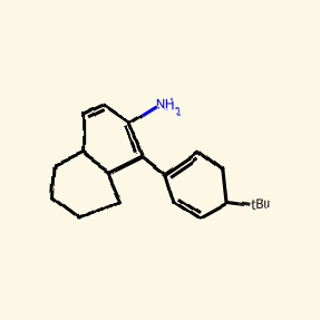 CC(C)(C)C1C=CC(C2=C(N)C=CC3CCCCC23)=CC1